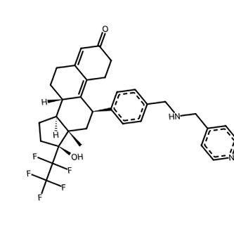 C[C@]12C[C@H](c3ccc(CNCc4ccncc4)cc3)C3=C4CCC(=O)C=C4CC[C@H]3[C@@H]1CC[C@@]2(O)C(F)(F)C(F)(F)F